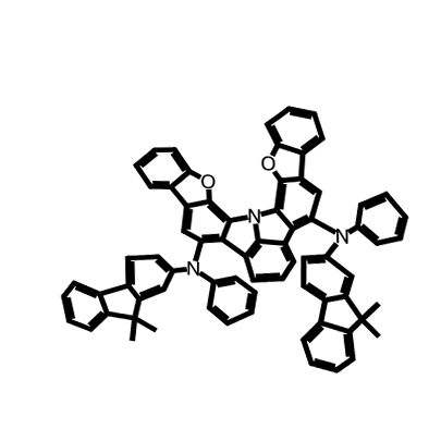 CC1(C)c2ccccc2-c2ccc(N(c3ccccc3)c3cc4c5ccccc5oc4c4c3c3cccc5c6c(N(c7ccccc7)c7ccc8c(c7)C(C)(C)c7ccccc7-8)cc7c8ccccc8oc7c6n4c35)cc21